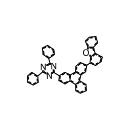 c1ccc(-c2nc(-c3ccccc3)nc(-c3ccc4c5ccccc5c5cc(-c6cccc7c6oc6ccccc67)ccc5c4c3)n2)cc1